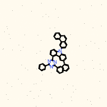 c1ccc(-c2ccc3c(c2)c2c(-c4nc(-c5ccccc5)nc(-c5ccccc5)n4)cccc2n3-c2ccc3ccc4ccccc4c3c2)cc1